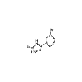 S=c1[nH]cc(-c2cccc(Br)c2)[nH]1